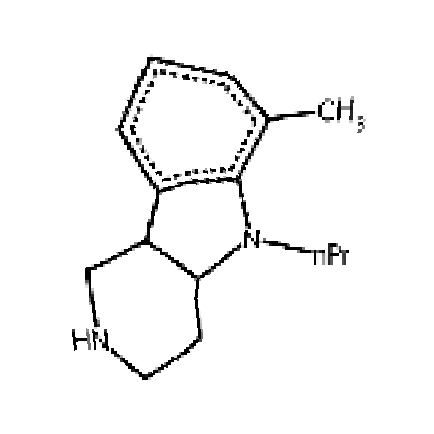 CCCN1c2c(C)cccc2C2CNCCC21